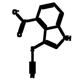 N#CSc1c[nH]c2cccc([N+](=O)[O-])c12